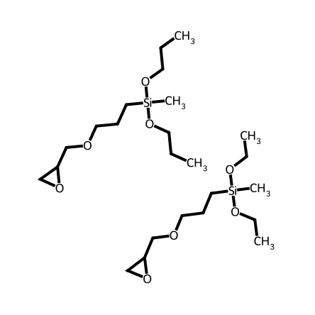 CCCO[Si](C)(CCCOCC1CO1)OCCC.CCO[Si](C)(CCCOCC1CO1)OCC